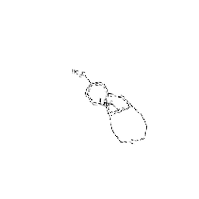 O=C(O)c1ccc2c3c(C(=O)O)c(cc2c1)CCCCCC3